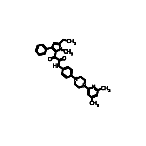 CCc1cc(-c2ccccc2)c(C(=O)C(=O)Nc2ccc(N3CCN(c4cc(C)cc(C)n4)CC3)cc2)n1C